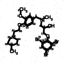 COc1cc(CN(C)CC(O)COc2c(Br)cc(Br)cc2Br)ccc1OCCN1CCC(C)CC1